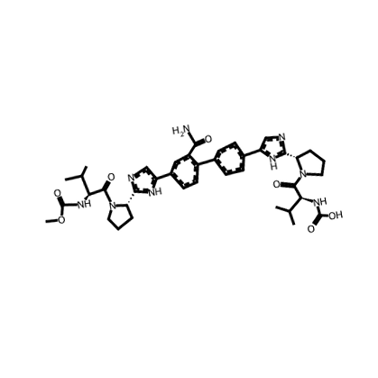 COC(=O)N[C@H](C(=O)N1CCC[C@H]1c1ncc(-c2ccc(-c3ccc(-c4cnc([C@@H]5CCCN5C(=O)[C@@H](NC(=O)O)C(C)C)[nH]4)cc3)c(C(N)=O)c2)[nH]1)C(C)C